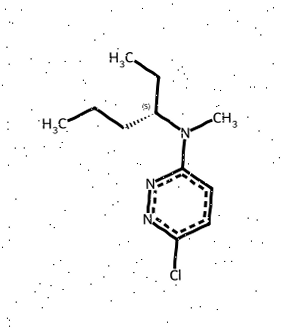 CCC[C@H](CC)N(C)c1ccc(Cl)nn1